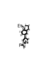 CCN1CCCc2cc(-c3cnn(C(F)F)c3)ccc21